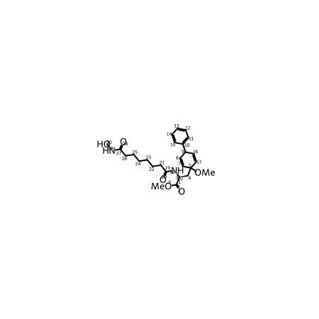 COC(=O)[C@H](CC1(OC)C=CC(c2ccccc2)C=C1)NC(=O)CCCCCCC(=O)NO